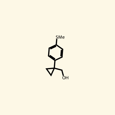 CSc1ccc(C2(CO)CC2)cc1